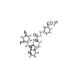 O=C(O)c1cccc(CCC(=O)N2CCc3c(n(Cc4ccc(F)cc4F)c4ncccc34)C2)c1